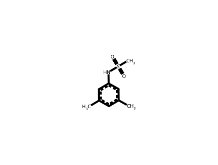 Cc1cc(C)cc(NS(C)(=O)=O)c1